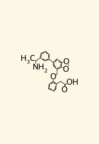 CC(N)c1cccc(-c2cc(COc3ccccc3CC(=O)O)c3c(c2)OCO3)c1